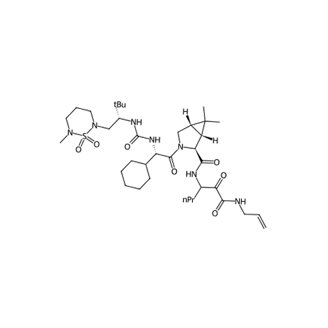 C=CCNC(=O)C(=O)C(CCC)NC(=O)[C@@H]1[C@@H]2[C@H](CN1C(=O)[C@@H](NC(=O)N[C@H](CN1CCCN(C)S1(=O)=O)C(C)(C)C)C1CCCCC1)C2(C)C